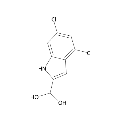 OC(O)c1cc2c(Cl)cc(Cl)cc2[nH]1